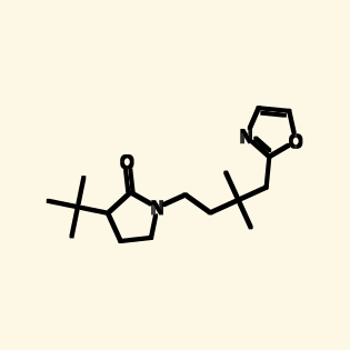 CC(C)(CCN1CCC(C(C)(C)C)C1=O)Cc1ncco1